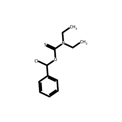 CCN(CC)C(=S)OC(Cl)c1ccccc1